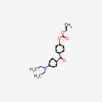 C=COC(=O)Oc1ccc(C(=O)c2ccc(N(CC)CC)cc2)cc1